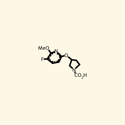 COc1nc(OC2CCN(C(=O)O)C2)ccc1F